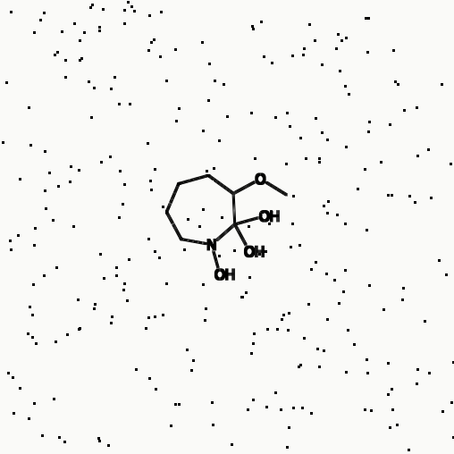 COC1CCCCN(O)C1(O)O